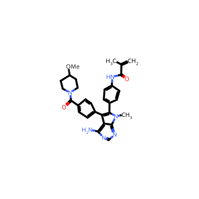 C=C(C)C(=O)Nc1ccc(-c2c(-c3ccc(C(=O)N4CCC(OC)CC4)cc3)c3c(N)ncnc3n2C)cc1